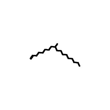 C=CCCCCCCC(C)CCCCCCCCC